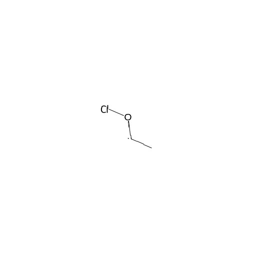 C[CH]OCl